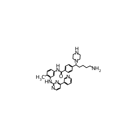 Cc1ccc(NC(=O)c2ccc(C(CCCCN)N3CCNCC3)cc2)cc1Nc1nccc(-c2cccnc2)n1